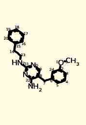 COc1cccc(Cc2cnc(NCCc3ccccc3)nc2N)c1